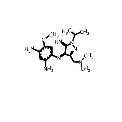 COc1cc(N=C2C(=N)N(C(C)C)N=C2CN(C)C)c(N)cc1N